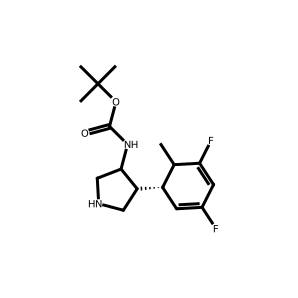 CC1C(F)=CC(F)=C[C@@H]1C1CNCC1NC(=O)OC(C)(C)C